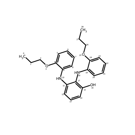 CCCOc1ccccc1Nc1cccc(O)c1Nc1ccccc1OCCC